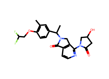 Cc1cc(C(C)N2Cc3c(ccnc3N3CC(O)CC3=O)C2=O)ccc1OCC(F)F